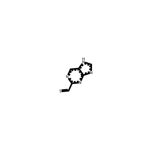 S=Cc1ncc2[nH]cnc2n1